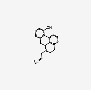 C=CCN1CCc2cccc3c2C1Cc1cccc(O)c1-3